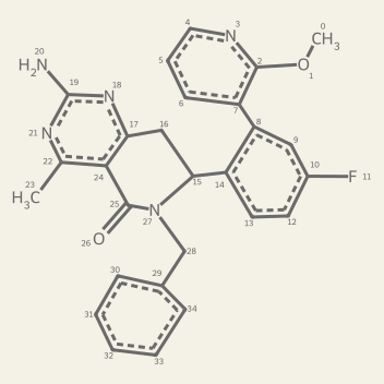 COc1ncccc1-c1cc(F)ccc1C1Cc2nc(N)nc(C)c2C(=O)N1Cc1ccccc1